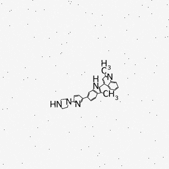 Cc1cc(-c2[nH]c3cc(-c4ccc(N5CCNCC5)nc4)ccc3c2C)c2ccccc2n1